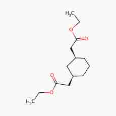 CCOC(=O)C[C@H]1CCC[C@@H](CC(=O)OCC)C1